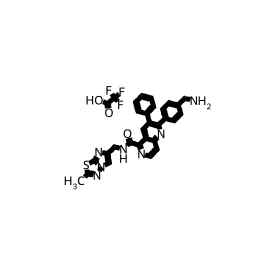 Cc1nn2cc(CNC(=O)c3nccc4nc(-c5ccc(CN)cc5)c(-c5ccccc5)cc34)nc2s1.O=C(O)C(F)(F)F